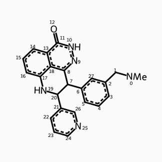 CNCc1cccc(C2c3n[nH]c(=O)c4cccc(c34)NC2c2cccnc2)c1